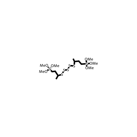 CO[Si](CCC(C)SSSSSC(C)CC[Si](OC)(OC)OC)(OC)OC